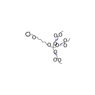 CCOC(=O)/C=C/OCC(CO/C=C/C(=O)OCC)(CO/C=C/C(=O)OCC)COCCCCCCOCc1ccccc1